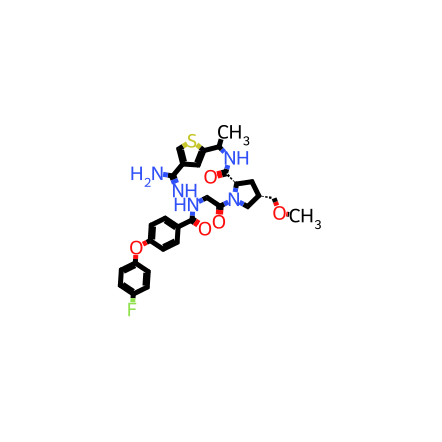 COC[C@H]1C[C@@H](C(=O)NC(C)c2cc(C(=N)N)cs2)N(C(=O)CNC(=O)c2ccc(Oc3ccc(F)cc3)cc2)C1